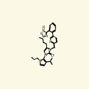 CCCCc1cn(-c2c(C(C)C)ccn2CCC)c(=O)n1Cc1ccc(-c2ccccc2-c2nnn[nH]2)cn1